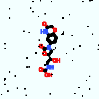 O=C(O)NCC(O)[C@H]1CN(c2ccc3c(c2)NC(=O)CO3)C(=O)O1